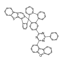 c1ccc(-c2nc(-c3ccc4c(c3)-c3ccccc3-c3ccccc3C43c4ccccc4-c4c3ccc3c4sc4ccccc43)nc(-c3cccc4oc5ccccc5c34)n2)cc1